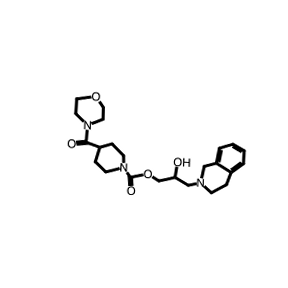 O=C(OCC(O)CN1CCc2ccccc2C1)N1CCC(C(=O)N2CCOCC2)CC1